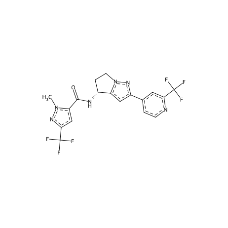 Cn1nc(C(F)(F)F)cc1C(=O)N[C@@H]1CCn2nc(-c3ccnc(C(F)(F)F)c3)cc21